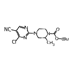 CC1CN(c2ncc(C#N)c(Cl)n2)CCN1C(=O)OC(C)(C)C